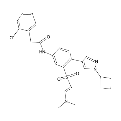 CN(C)/C=N/S(=O)(=O)c1cc(NC(=O)Cc2ccccc2Cl)ccc1-c1cnn(C2CCC2)c1